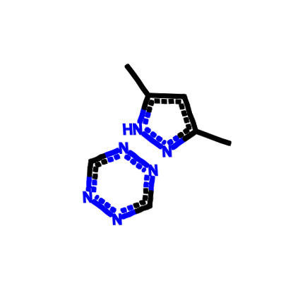 Cc1cc(C)[nH]n1.c1nncnn1